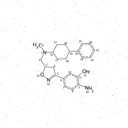 CN(CC1CC(c2ccc(N)c(O)c2)=NO1)C1CCC(c2ccccc2)CC1